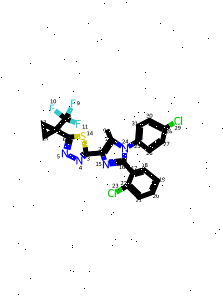 Cc1c(-c2nnc(C3(C(F)(F)F)CC3)s2)nc(-c2ccccc2Cl)n1-c1ccc(Cl)cc1